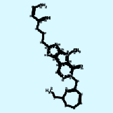 CCC1CCC=CC(Cn2ncc3c4sc(CCCC(=N)/C=C\N)nc4n(C)c3c2=O)=N1